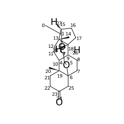 CC1OCCOC23CC[C@H]4C(C=C[C@]5(C)[C@@H]1CC[C@H]45)[C@@]2(C)CCC(=O)C3